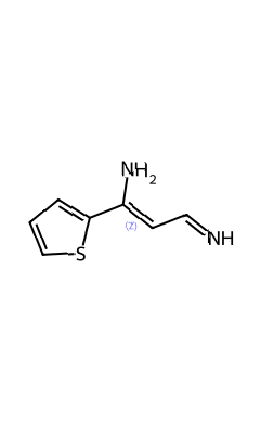 N=C/C=C(\N)c1cccs1